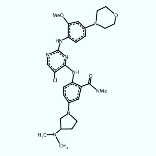 CNC(=O)c1cc(N2CCC(N(C)C)C2)ccc1Nc1nc(Nc2ccc(N3CCOCC3)cc2OC)ncc1Cl